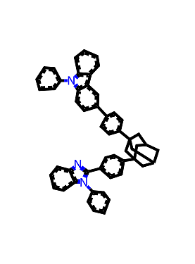 c1ccc(-n2c(-c3ccc(C45CC6CC(CC(c7ccc(-c8ccc9c(c8)c8ccccc8n9-c8ccccc8)cc7)(C6)C4)C5)cc3)nc3ccccc32)cc1